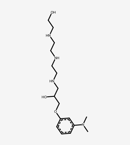 CN(C)c1cccc(OCC(O)CNCCNCCNCCO)c1